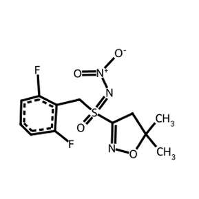 CC1(C)CC(S(=O)(Cc2c(F)cccc2F)=N[N+](=O)[O-])=NO1